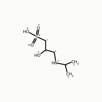 CC(C)NCC(O)CS(=O)(=O)O